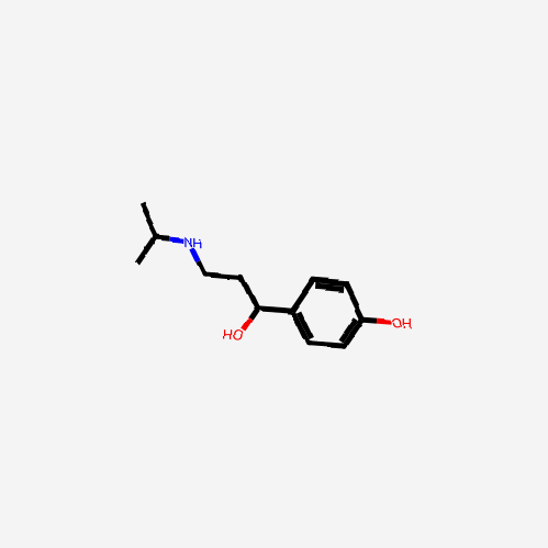 CC(C)NCCC(O)c1ccc(O)cc1